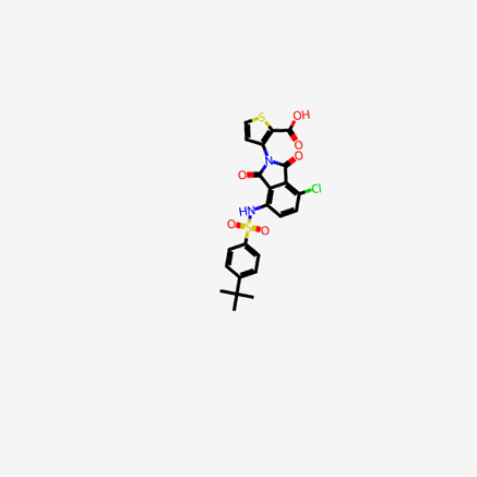 CC(C)(C)c1ccc(S(=O)(=O)Nc2ccc(Cl)c3c2C(=O)N(c2ccsc2C(=O)O)C3=O)cc1